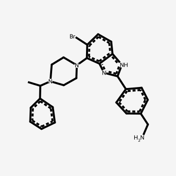 CC(c1ccccc1)N1CCN(c2c(Br)ccc3[nH]c(-c4ccc(CN)cc4)nc23)CC1